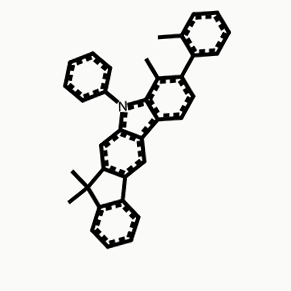 Cc1ccccc1-c1ccc2c3cc4c(cc3n(-c3ccccc3)c2c1C)C(C)(C)c1ccccc1-4